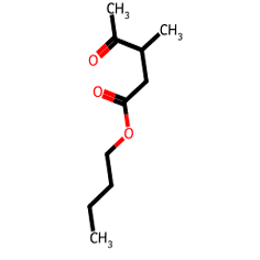 CCCCOC(=O)CC(C)C(C)=O